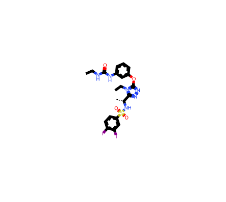 CCNC(=O)Nc1cccc(Oc2nnc([C@@H](C)NS(=O)(=O)c3ccc(I)c(I)c3)n2CC)c1